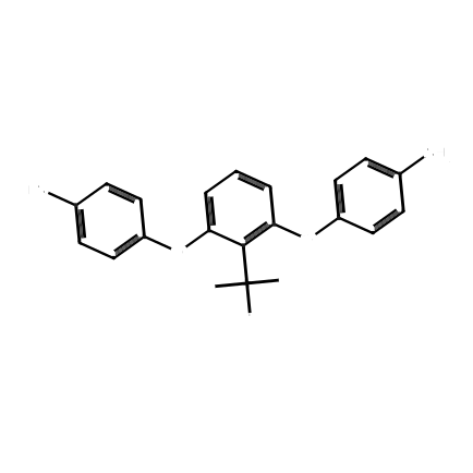 Nc1ccc(Oc2cccc(Oc3ccc(N)cc3)c2C(F)(F)F)cc1